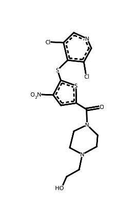 O=C(c1cc([N+](=O)[O-])c(Sc2c(Cl)cncc2Cl)s1)N1CCN(CCO)CC1